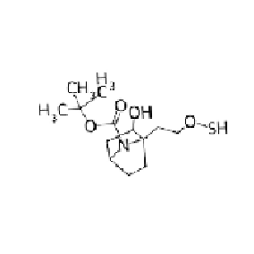 CC(C)(C)OC(=O)N1C2CCC1(CCOS)C(O)C2